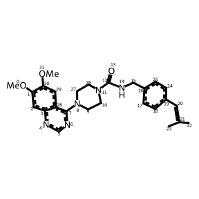 COc1cc2ncnc(N3CCN(C(=O)NCc4ccc(C=C(C)C)cc4)CC3)c2cc1OC